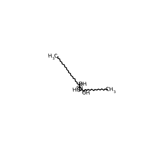 CCCCCCCCCCCCC/C=C/C(O)C(CO)NC(=O)C(O)CCCCCCCCCCCCCCCCCCCCC